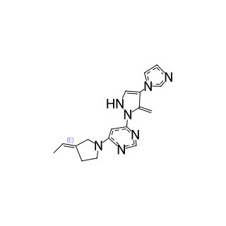 C=C1C(n2ccnc2)=CNN1c1cc(N2CC/C(=C\C)C2)ncn1